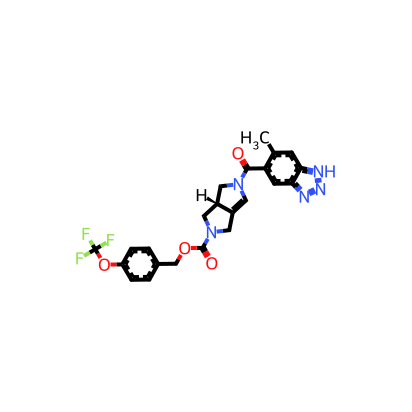 Cc1cc2[nH]nnc2cc1C(=O)N1C=C2CN(C(=O)OCc3ccc(OC(F)(F)F)cc3)C[C@@H]2C1